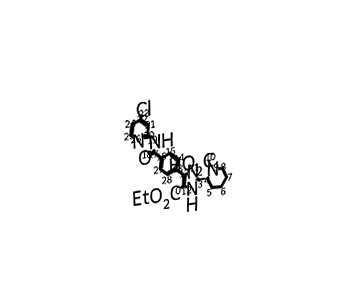 CCOC(=O)c1[nH]c([C@@H]2CCCCN2C(=O)O)nc1-c1ccc(C(=O)Nc2cc(Cl)ccn2)cc1